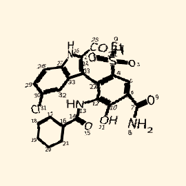 CCS(=O)(=O)c1cc(C(N)=O)c(O)c(NC(=O)C2CCCCC2)c1-c1c(C(=O)O)[nH]c2ccc(Cl)cc12